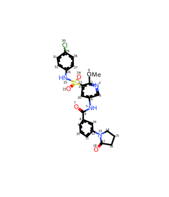 COc1ncc(NC(=O)c2cccc(N3CCCC3=O)c2)cc1S(=O)(=O)Nc1ccc(Cl)cc1